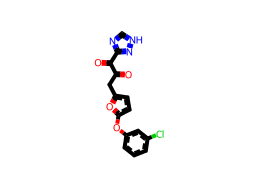 O=C(Cc1ccc(Oc2cccc(Cl)c2)o1)C(=O)c1nc[nH]n1